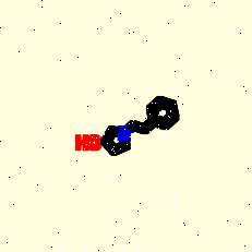 O[C@H]1CCN(CCc2ccccc2)C1